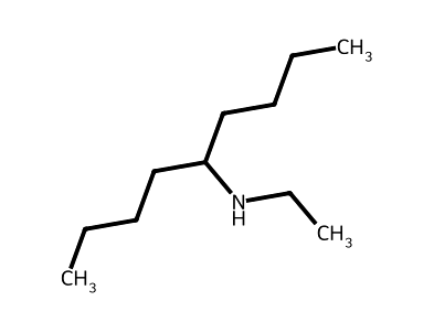 CCCCC(CCCC)NCC